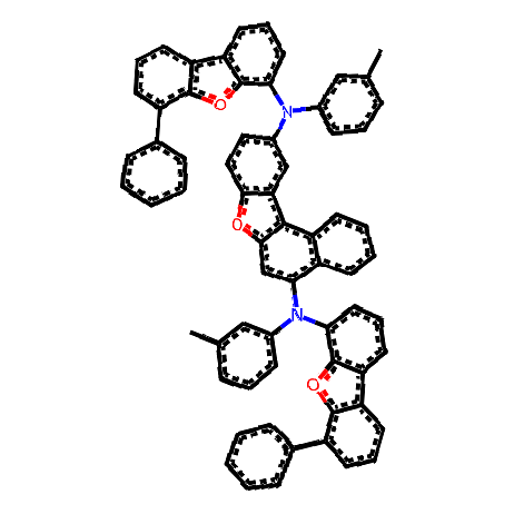 Cc1cccc(N(c2ccc3oc4cc(N(c5cccc(C)c5)c5cccc6c5oc5c(-c7ccccc7)cccc56)c5ccccc5c4c3c2)c2cccc3c2oc2c(-c4ccccc4)cccc23)c1